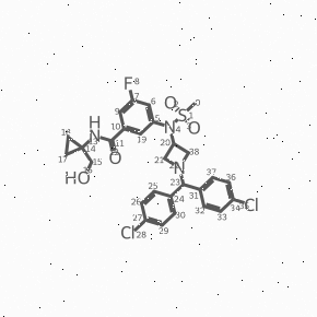 CS(=O)(=O)N(c1cc(F)cc(C(=O)NC2(CO)CC2)c1)C1CN(C(c2ccc(Cl)cc2)c2ccc(Cl)cc2)C1